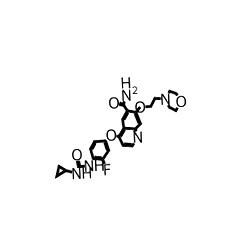 NC(=O)c1cc2c(Oc3ccc(NC(=O)NC4CC4)c(F)c3)ccnc2cc1OCCN1CCOCC1